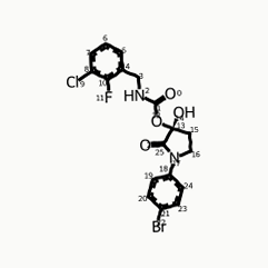 O=C(NCc1cccc(Cl)c1F)O[C@]1(O)CCN(c2ccc(Br)cc2)C1=O